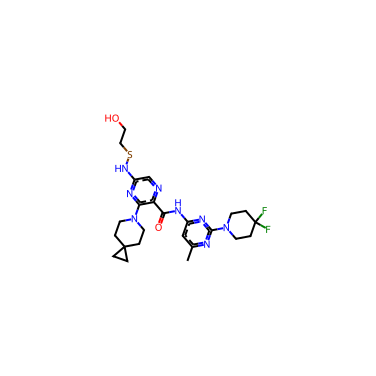 Cc1cc(NC(=O)c2ncc(NSCCO)nc2N2CCC3(CC2)CC3)nc(N2CCC(F)(F)CC2)n1